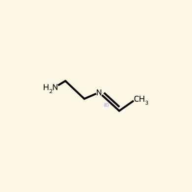 C/C=N/CCN